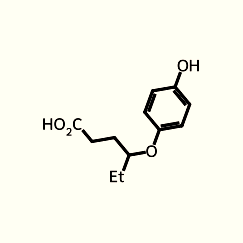 CCC(CCC(=O)O)Oc1ccc(O)cc1